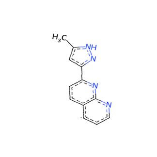 Cc1cc(-c2ccc3[c]ccnc3n2)n[nH]1